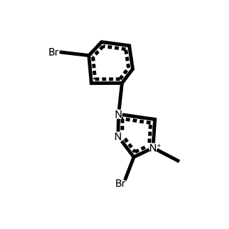 C[n+]1cn(-c2cccc(Br)c2)nc1Br